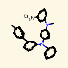 Cc1ccc(-c2cccc(N(c3ccccc3)c3ccc(N(C)c4cccc([N+](=O)[O-])c4)cc3)c2)cc1